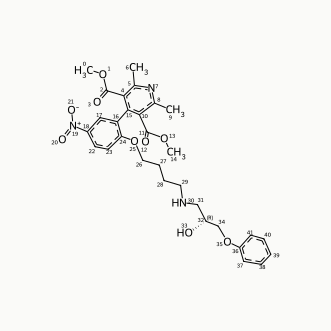 COC(=O)c1c(C)nc(C)c(C(=O)OC)c1-c1cc([N+](=O)[O-])ccc1OCCCCNC[C@@H](O)COc1ccccc1